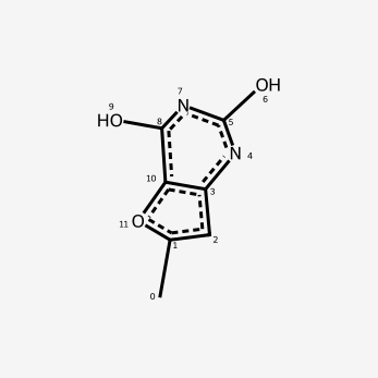 Cc1cc2nc(O)nc(O)c2o1